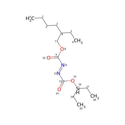 CCCCC(CC)COC(=O)N=NC(=O)O[SiH](CC)CC